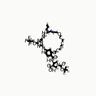 C=C/C=C1\C=C/COCCCCCCOc2cc(ccc2C(=O)N[C@@H]2CN(C(=O)OC(C)(C)C)C[C@@H]2C(=O)O)Nc2nc(nc(OCC(F)(F)F)n2)NC1